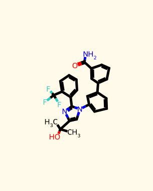 CC(C)(O)c1cn(-c2cccc(-c3cccc(C(N)=O)c3)c2)c(-c2ccccc2C(F)(F)F)n1